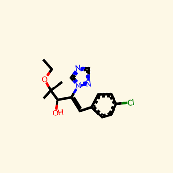 CCOC(C)(C)C(O)C(=Cc1ccc(Cl)cc1)n1cncn1